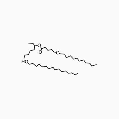 CCCCCCCCCCCCCCCCCC(=O)OC(CC)CCCCC.CCCCCCCCCCCCCCCCO